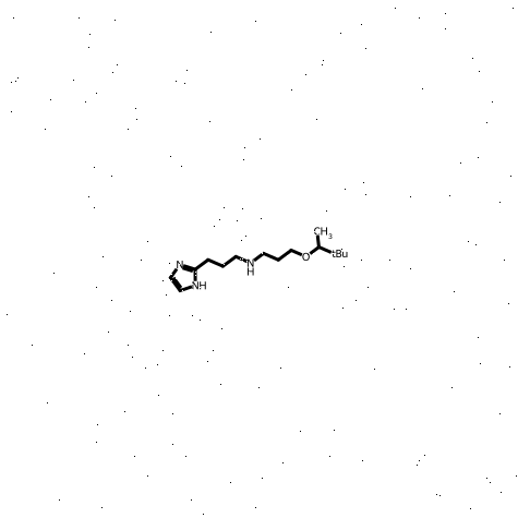 CC(OCCCNCCCc1ncc[nH]1)C(C)(C)C